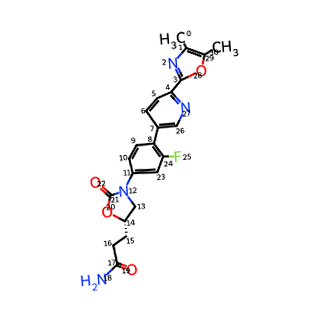 Cc1nc(-c2ccc(-c3ccc(N4C[C@H](CCC(N)=O)OC4=O)cc3F)cn2)oc1C